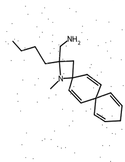 CCCCC1(CN)CC2(C=CC3(C=CCC=C3)C=C2)N1C